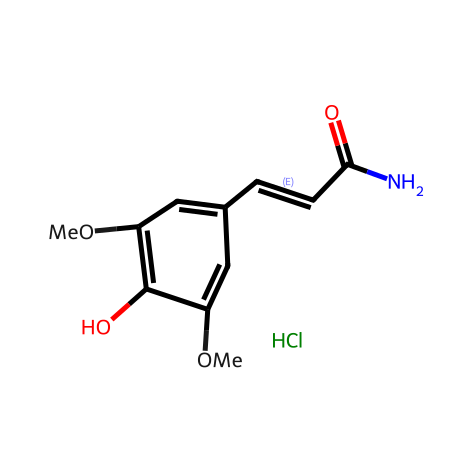 COc1cc(/C=C/C(N)=O)cc(OC)c1O.Cl